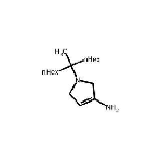 CCCCCCC(C)(CCCCCC)N1CC=C(N)C1